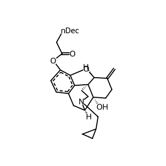 C=C1CC[C@@]2(O)[C@H]3Cc4ccc(OC(=O)CCCCCCCCCCC)c5c4[C@@]2(CCN3CC2CC2)[C@H]1O5